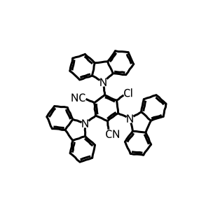 N#Cc1c(-n2c3ccccc3c3ccccc32)c(Cl)c(-n2c3ccccc3c3ccccc32)c(C#N)c1-n1c2ccccc2c2ccccc21